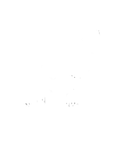 CNC(=O)/C(=N/OC)c1ccccc1CNOC(C)c1cccc(C(F)(F)F)c1